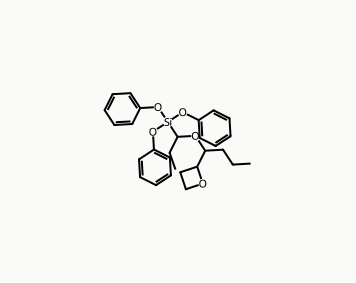 CCCC(OC(CC)[Si](Oc1ccccc1)(Oc1ccccc1)Oc1ccccc1)C1CCO1